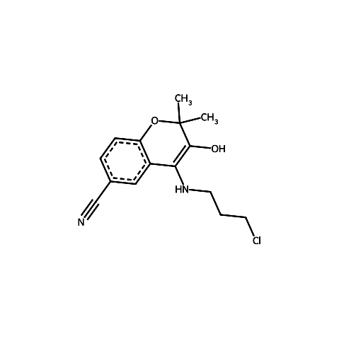 CC1(C)Oc2ccc(C#N)cc2C(NCCCCl)=C1O